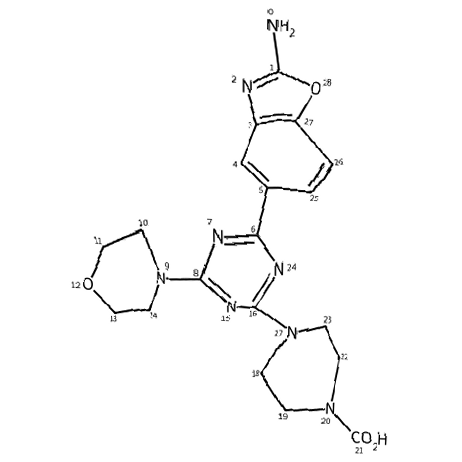 Nc1nc2cc(-c3nc(N4CCOCC4)nc(N4CCN(C(=O)O)CC4)n3)ccc2o1